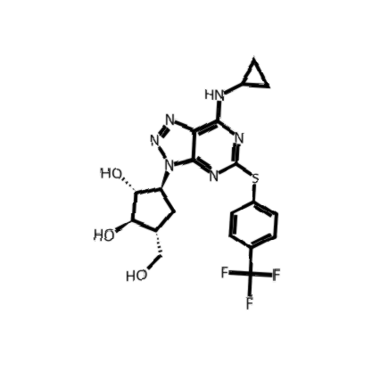 OC[C@H]1C[C@H](n2nnc3c(NC4CC4)nc(Sc4ccc(C(F)(F)F)cc4)nc32)[C@@H](O)[C@@H]1O